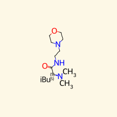 CC[C@H](C)[C@@H](C(=O)NCCN1CCOCC1)N(C)C